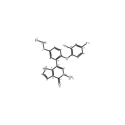 CCNSc1ccc(Oc2ccc(F)cc2F)c(-c2cn(C)c(=O)c3cc[nH]c23)c1